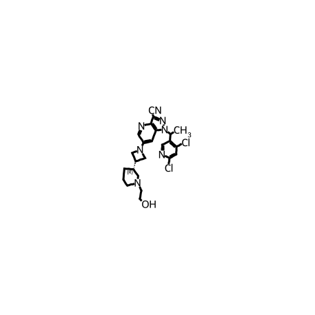 CC(c1cnc(Cl)cc1Cl)n1nc(C#N)c2ncc(N3CC([C@H]4CCCN(CCO)C4)C3)cc21